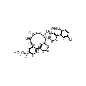 COc1ccc(Cl)cc1C1=CC(=O)N([C@H]2CCC[C@@H](C)C(=O)Nc3cc(NC(=O)O)ccc3-c3ccnc2c3)CC1